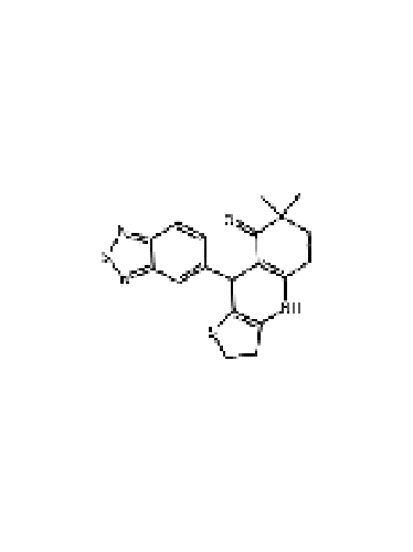 CC1(C)CCC2=C(C1=O)C(c1ccc3nsnc3c1)C1=C(CCS1)N2